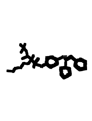 CCCCCCC(C)(C(C)CC(C)(C)C)C(C)(C)Oc1ccc([SiH2]C(=Cc2ccccc2)c2ccccc2)cc1